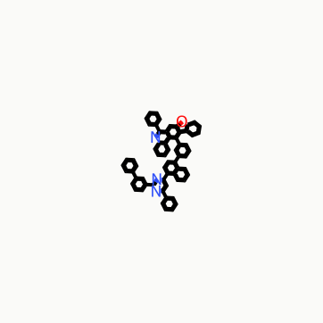 c1ccc(-c2cccc(-c3nc(-c4ccccc4)cc(-c4ccc(-c5cccc(-c6c7c(cc8c(-c9ccccc9)nc9ccccc9c68)oc6ccccc67)c5)c5ccccc45)n3)c2)cc1